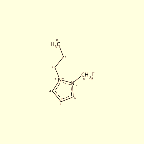 CCC[n+]1cccn1C.[I-]